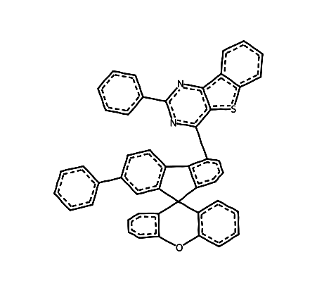 c1ccc(-c2ccc3c(c2)C2(c4ccccc4Oc4ccccc42)c2cccc(-c4nc(-c5ccccc5)nc5c4sc4ccccc45)c2-3)cc1